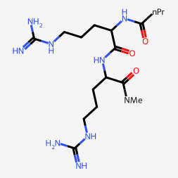 CCCC(=O)NC(CCCNC(=N)N)C(=O)NC(CCCNC(=N)N)C(=O)NC